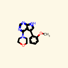 COc1ccccc1-c1c[nH]c2ncnc(N3CCOCC3)c12